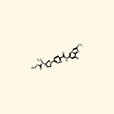 Cc1cn2cc(NC(=O)c3ccc(N4CC[C@@H](N(C)C(=O)OC(C)(C)C)C4)nn3)cc(F)c2n1